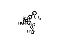 Cc1ccccc1C1CCN(C(=S(=O)=O)C2(C(=O)NO)CCN(C(=O)OCC3CCCN3)CC2)CC1